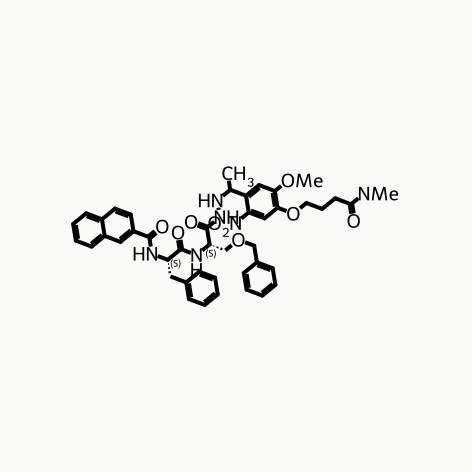 CNC(=O)CCCOc1cc([N+](=O)[O-])c(C(C)NNC(=O)[C@H](COCc2ccccc2)NC(=O)[C@H](Cc2ccccc2)NC(=O)c2ccc3ccccc3c2)cc1OC